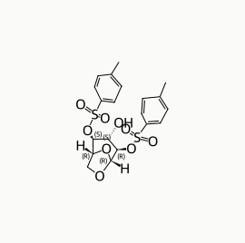 Cc1ccc(S(=O)(=O)O[C@H]2[C@@H]3OC[C@@H](O3)[C@@H](OS(=O)(=O)c3ccc(C)cc3)[C@@H]2O)cc1